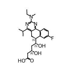 CCN(C)c1nc2c(c(C(C)C)n1)C[C@H]([C@@H](O)C[C@@H](O)CC(=O)O)c1cc(F)ccc1-2